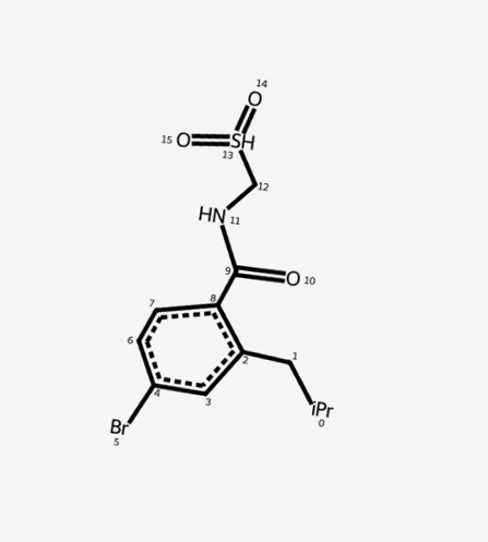 CC(C)Cc1cc(Br)ccc1C(=O)NC[SH](=O)=O